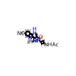 CC(=O)NC1CC(NC(=O)c2c[nH]c3c4ccc(C#N)cc4nc-3c2NC(C)C)C1